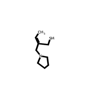 CC=C(CS)CN1CCCC1